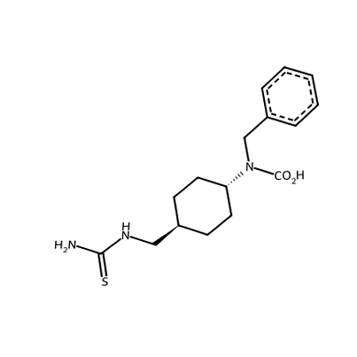 NC(=S)NC[C@H]1CC[C@H](N(Cc2ccccc2)C(=O)O)CC1